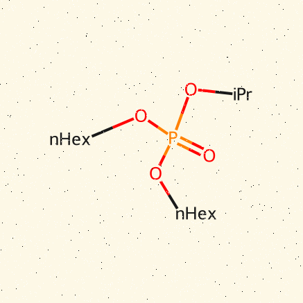 CCCCCCOP(=O)(OCCCCCC)OC(C)C